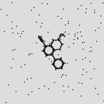 CN1CCc2c(-c3ccccc3)ccc(C#N)c2C1